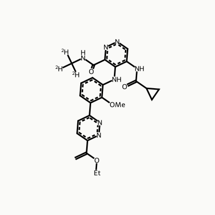 [2H]C([2H])([2H])NC(=O)c1nncc(NC(=O)C2CC2)c1Nc1cccc(-c2ccc(C(=C)OCC)nn2)c1OC